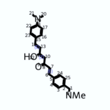 CNCc1ccc(/C=C/C(=O)/C=C(O)/C=C/c2ccc(N(C)C)cc2)cc1